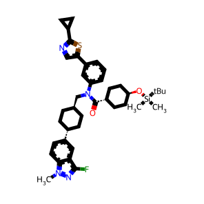 Cn1nc(F)c2cc([C@H]3CC[C@H](CN(c4cccc(-c5cnc(C6CC6)s5)c4)C(=O)[C@H]4CC[C@H](O[Si](C)(C)C(C)(C)C)CC4)CC3)ccc21